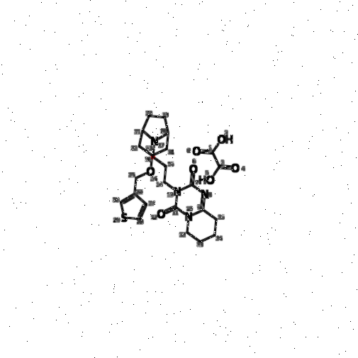 O=C(O)C(=O)O.O=c1nc2n(c(=O)n1CCCN1C3CCC1CC(OCc1ccsc1)C3)CCCC2